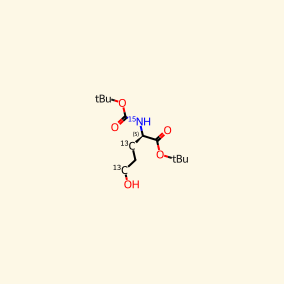 CC(C)(C)OC(=O)[15NH][C@H]([13CH2]C[13CH2]O)C(=O)OC(C)(C)C